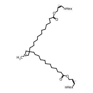 CCCCCC/C=C\COC(=O)CCCCCCCCCCCC1(CCCCCCCCCCCC(=O)OC/C=C\CCCCCC)CN(C)C1